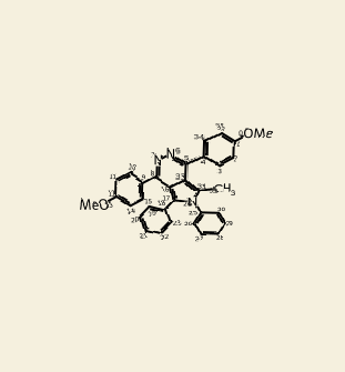 COc1ccc(-c2nnc(-c3ccc(OC)cc3)c3c(-c4ccccc4)n(-c4ccccc4)c(C)c23)cc1